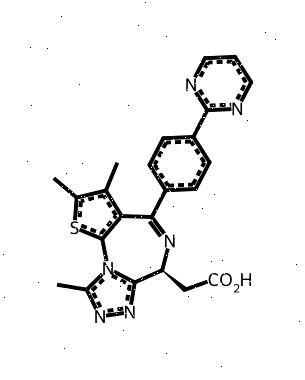 Cc1sc2c(c1C)C(c1ccc(-c3ncccn3)cc1)=N[C@@H](CC(=O)O)c1nnc(C)n1-2